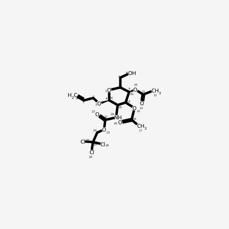 C=CCO[C@H]1OC(CO)[C@@H](OC(C)=O)C(OC(C)=O)C1NC(=O)OCC(Cl)(Cl)Cl